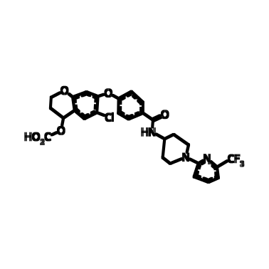 O=C(O)OC1CCOc2cc(Oc3ccc(C(=O)NC4CCN(c5cccc(C(F)(F)F)n5)CC4)cc3)c(Cl)cc21